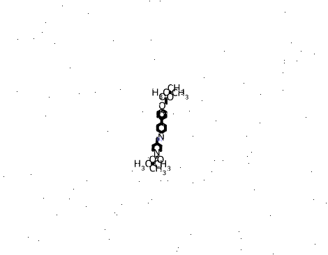 CC(C)(C)OC(=O)COc1ccc(C2CCC(/N=C/C3CCN(C(=O)OC(C)(C)C)CC3)CC2)cc1